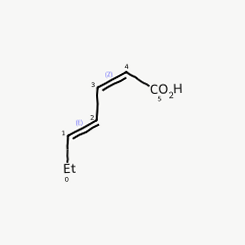 CC/C=C/C=C\C(=O)O